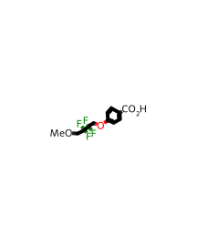 COCC(F)(F)C(F)(F)COc1ccc(C(=O)O)cc1